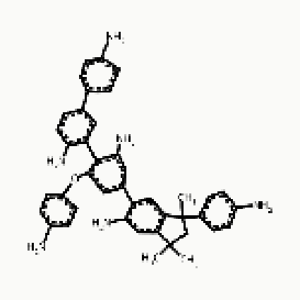 CC1(C)CC(C)(c2ccc(N)cc2)c2cc(-c3cc(N)c(-c4cc(-c5ccc(N)cc5)ccc4N)c(Oc4ccc(N)cc4)c3)c(N)cc21